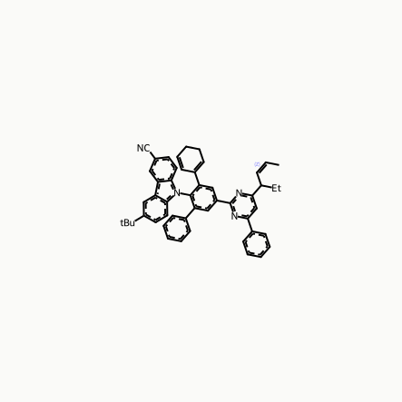 C/C=C\C(CC)c1cc(-c2ccccc2)nc(-c2cc(C3=CCCC=C3)c(-n3c4ccc(C#N)cc4c4cc(C(C)(C)C)ccc43)c(-c3ccccc3)c2)n1